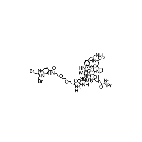 CC[C@H](C)[C@@H]([C@@H](CC(=O)N1CCC[C@H]1[C@H](OC)[C@@H](C)C(=O)N[C@H](CN)Cc1ccc(NC(=O)CNC(=O)[C@H](C)NC(=O)[C@H](C)NC(=O)CCOCCOCCNC(=O)c2ccc3nc(CBr)c(CBr)nc3c2)cc1)OC)N(C)C(=O)CNC(=O)C(C(C)C)N(C)C